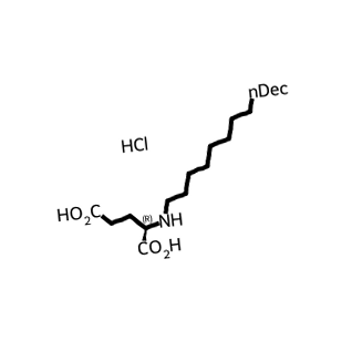 CCCCCCCCCCCCCCCCCCN[C@H](CCC(=O)O)C(=O)O.Cl